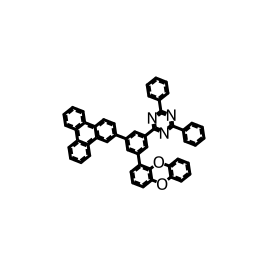 c1ccc(-c2nc(-c3ccccc3)nc(-c3cc(-c4ccc5c6ccccc6c6ccccc6c5c4)cc(-c4cccc5c4Oc4ccccc4O5)c3)n2)cc1